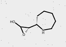 OC1O[C@H]1[C@@H]1CCCCCN1